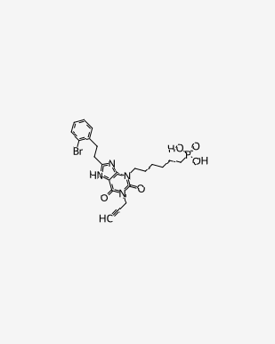 C#CCn1c(=O)c2[nH]c(CCc3ccccc3Br)nc2n(CCCCCCP(=O)(O)O)c1=O